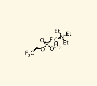 CC[N+](C)(CC)CC.O=P([O-])(F)OCC(F)(F)F